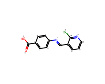 O=C(O)c1ccc(N=Cc2cccnc2Br)cc1